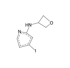 Ic1ccnc(NC2COC2)c1